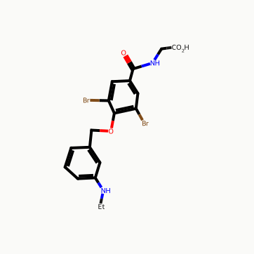 CCNc1cccc(COc2c(Br)cc(C(=O)NCC(=O)O)cc2Br)c1